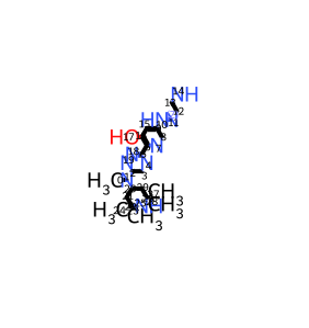 CN(c1cnc(-c2ncc(N/N=C\C=N)cc2O)nn1)C1CC(C)(C)NC(C)(C)C1